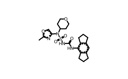 Cc1nc(N(C2CCOCC2)S(=O)(=O)NC(=O)Nc2c3c(cc4c2CCC4)CCC3)co1